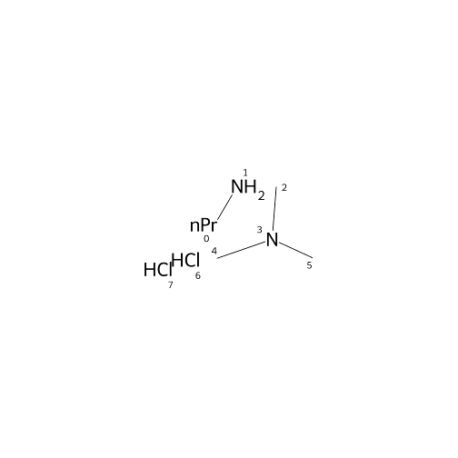 CCCN.CN(C)C.Cl.Cl